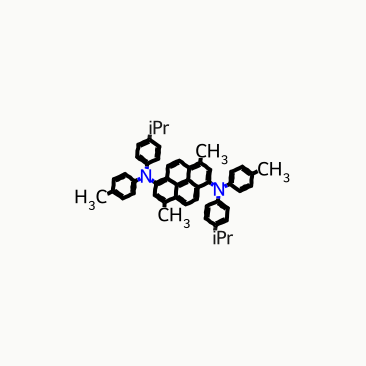 Cc1ccc(N(c2ccc(C(C)C)cc2)c2cc(C)c3ccc4c(N(c5ccc(C)cc5)c5ccc(C(C)C)cc5)cc(C)c5ccc2c3c54)cc1